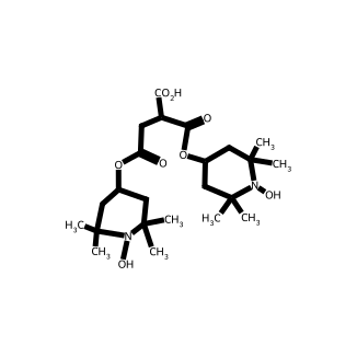 CC1(C)CC(OC(=O)CC(C(=O)O)C(=O)OC2CC(C)(C)N(O)C(C)(C)C2)CC(C)(C)N1O